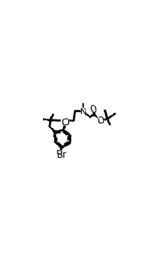 CN(CCOc1ccc(Br)cc1CC(C)(C)C)CC(=O)OC(C)(C)C